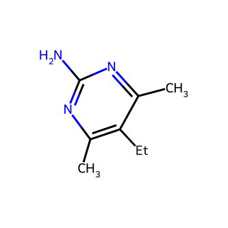 CCc1c(C)nc(N)nc1C